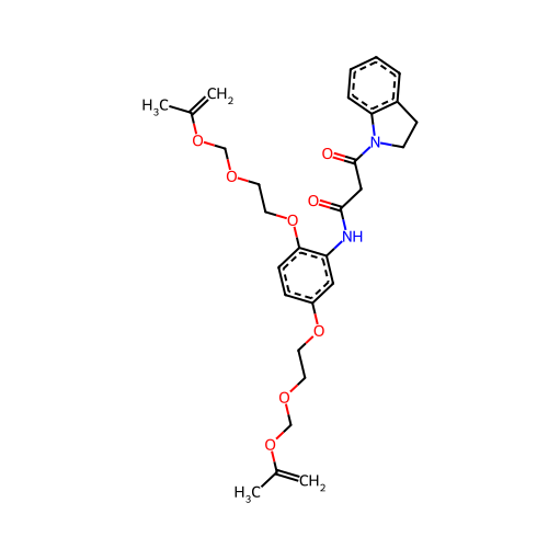 C=C(C)OCOCCOc1ccc(OCCOCOC(=C)C)c(NC(=O)CC(=O)N2CCc3ccccc32)c1